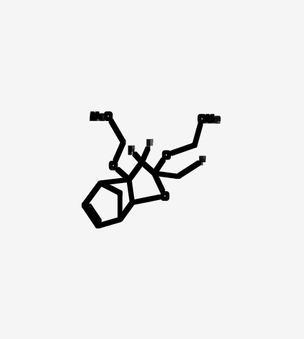 COCOC1(CF)OC2C3C=CC(C3)C2(OCOC)C1(F)F